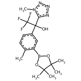 Cc1ccc(C(O)(c2nnnn2C)C(F)(F)F)cc1B1OC(C)(C)C(C)(C)O1